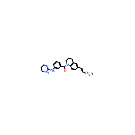 O=C(O)/C=C/c1ccc2c(c1)CCCN2C(=O)c1cccc(NC2=NCCCN2)c1